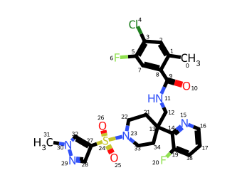 Cc1cc(Cl)c(F)cc1C(=O)NCC1(c2ncccc2F)CCN(S(=O)(=O)c2cnn(C)c2)CC1